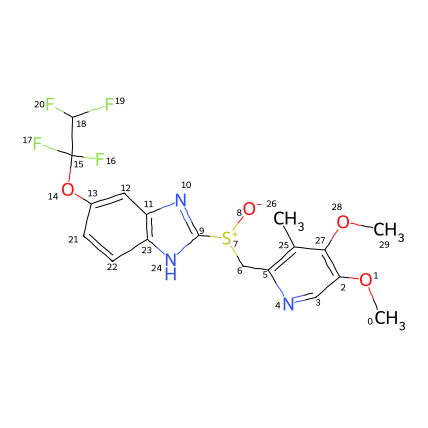 COc1cnc(C[S+]([O-])c2nc3cc(OC(F)(F)C(F)F)ccc3[nH]2)c(C)c1OC